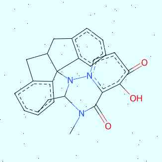 CCC1N(C)C(=O)c2c(O)c(=O)ccn2N1C12c3ccccc3CC1Cc1ccccc12